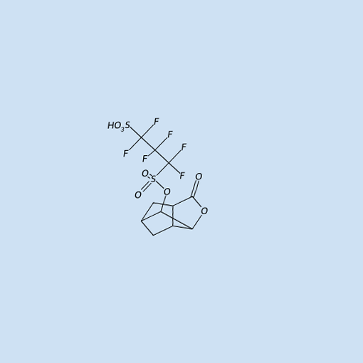 O=C1OC2C3CC(CC13)C2OS(=O)(=O)C(F)(F)C(F)(F)C(F)(F)S(=O)(=O)O